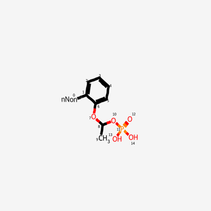 CCCCCCCCCc1ccccc1OC(C)OP(=O)(O)O